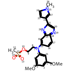 COc1cc(OC)cc(N(CCOS(C)(=O)=O)c2ccc3ncc(-c4ccn(C)c4)nc3c2)c1